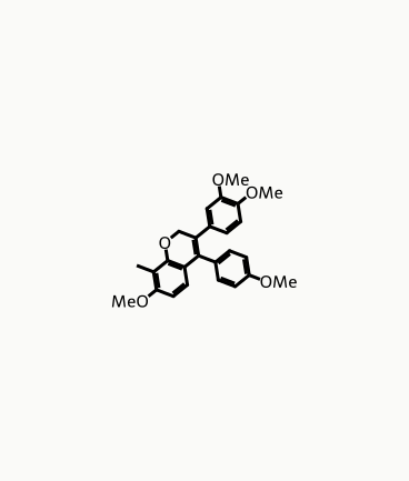 COc1ccc(C2=C(c3ccc(OC)c(OC)c3)COc3c2ccc(OC)c3C)cc1